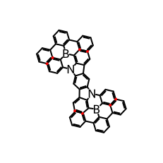 c1ccc(-c2cccc(-c3ccccc3)c2B2c3ccccc3-n3c4cc5c6cccc7c6n(c5cc4c4cccc2c43)-c2ccccc2B7c2c(-c3ccccc3)cccc2-c2ccccc2)cc1